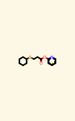 O=C(CCSC1CCCCC1)Oc1ccccn1